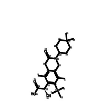 Cc1c2c(c(C)c([Si](C)(C)C)c1[C@H](O)C(=O)O)CN(C1CCC(C)(C)CC1)C(=O)C2